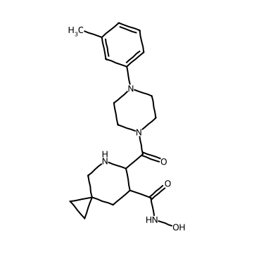 Cc1cccc(N2CCN(C(=O)C3NCC4(CC4)CC3C(=O)NO)CC2)c1